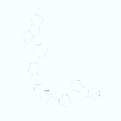 c1cc(-c2ccc3nc4sc5ccc(-c6cccc(-c7cccc8c7sc7ccccc78)c6)cc5c4nc3c2)cc(-c2cccc3c2sc2ccccc23)c1